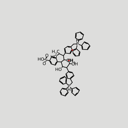 CC(O)C(c1ccc(C[PH](c2ccccc2)(c2ccccc2)c2ccccc2)cc1)C(O)C(c1ccc(S(=O)(=O)O)cc1)C(O)C(c1ccc(C[PH](c2ccccc2)(c2ccccc2)c2ccccc2)cc1)C(C)O